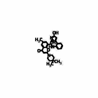 Cc1cc(C(C)Nc2ccccc2-c2cc(O)no2)c2oc(N3CCC(C)(C)CC3)cc(=O)c2c1